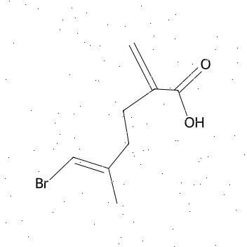 C=C(CCC(C)=CBr)C(=O)O